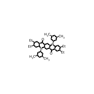 CCc1cc2c(=O)c3cc4c(cc3n(-c3cc(C)cc(C)c3)c2cc1CC)c(=O)c1cc(CC)c(CC)cc1n4-c1cc(C)cc(C)c1